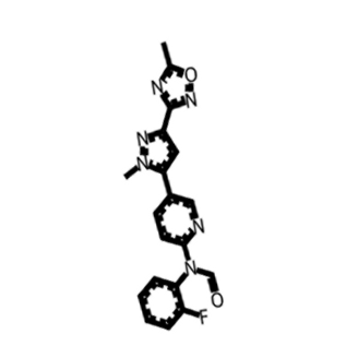 Cc1nc(-c2cc(-c3ccc(N(C=O)c4ccccc4F)nc3)n(C)n2)no1